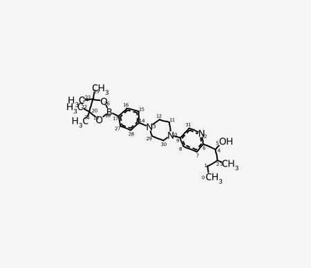 CCC(C)C(O)c1ccc(N2CCN(c3ccc(B4OC(C)(C)C(C)(C)O4)cc3)CC2)cn1